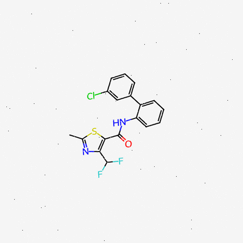 Cc1nc(C(F)F)c(C(=O)Nc2ccccc2-c2cccc(Cl)c2)s1